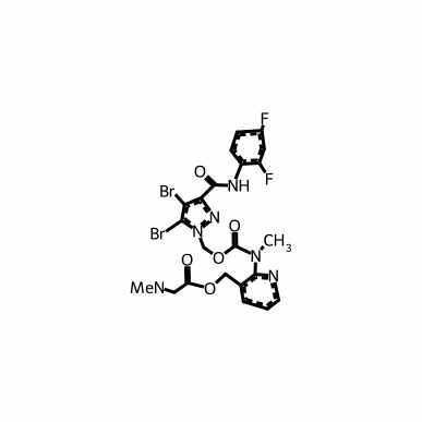 CNCC(=O)OCc1cccnc1N(C)C(=O)OCn1nc(C(=O)Nc2ccc(F)cc2F)c(Br)c1Br